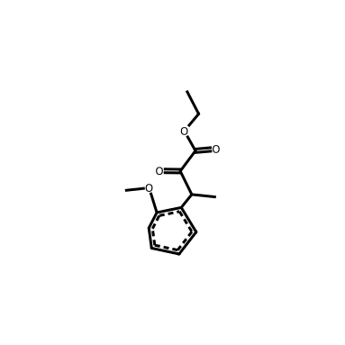 CCOC(=O)C(=O)C(C)c1ccccc1OC